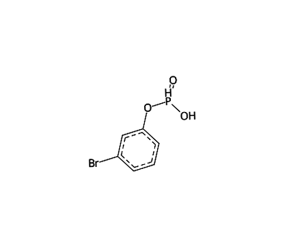 O=[PH](O)Oc1cccc(Br)c1